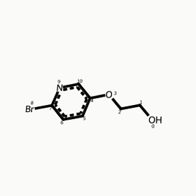 OCCOc1ccc(Br)nc1